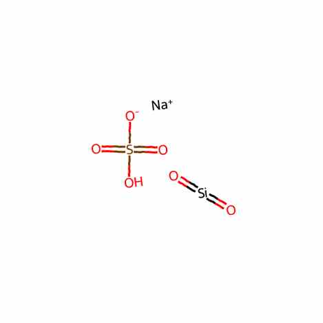 O=S(=O)([O-])O.O=[Si]=O.[Na+]